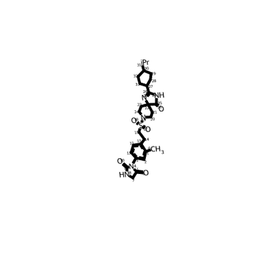 Cc1cc(N2C(=O)CNC2=O)ccc1CCS(=O)(=O)N1CCC2(CC1)N=C(C1CCC(C(C)C)CC1)NC2=O